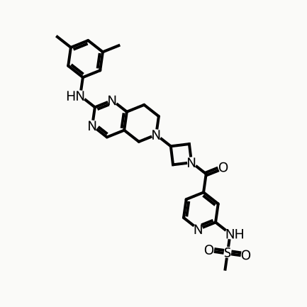 Cc1cc(C)cc(Nc2ncc3c(n2)CCN(C2CN(C(=O)c4ccnc(NS(C)(=O)=O)c4)C2)C3)c1